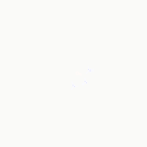 CCCCN1CCCC1=NC(=O)Nc1cccc(Cl)c1